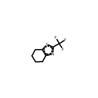 FC(F)(F)c1nc2c(s1)CCCC2